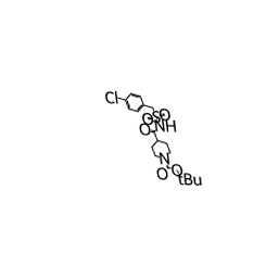 CC(C)(C)OC(=O)N1CCC(C(=O)NS(=O)(=O)Cc2ccc(Cl)cc2)CC1